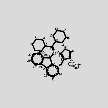 CC1=[C]([Zr+2](=[C](C2CCCCC2)C2CCCCC2)[CH]2c3ccccc3-c3ccccc32)CC=C1.[Cl-].[Cl-]